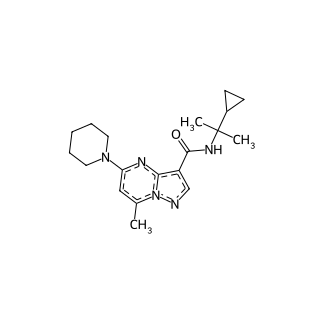 Cc1cc(N2CCCCC2)nc2c(C(=O)NC(C)(C)C3CC3)cnn12